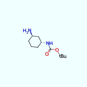 CC(C)(C)OC(=O)N[C@@H]1CCC[C@@H](N)C1